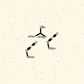 CCCCCCCC(CCCC)CCCCCC.CCCCCCCCCN=C=O.CCCCCCCCCN=C=O